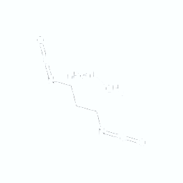 CCCCCC.O=C=NCCCN=C=O